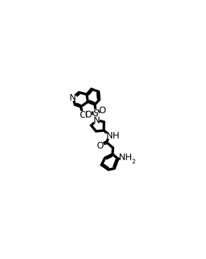 Nc1ccccc1CC(=O)NC1CCN(S(=O)(=O)c2cccc3cncc(Cl)c23)C1